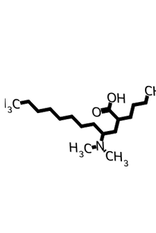 CCCCCCCCC(CC(CCCC)C(=O)O)N(C)C